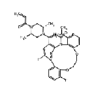 C=CC(=O)N1C[C@H](C)N(c2nc(=O)n3c4nc(c(F)cc24)-c2cccc(F)c2OCCOc2ccnc(C(C)C)c2-3)C[C@H]1C